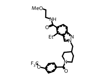 CCc1c(C(=O)NCCOC)ccc2nn(CC3CCN(C(=O)c4ccc(OC(F)(F)F)cc4)CC3)cc12